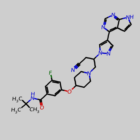 CC(C)(C)NC(=O)c1cc(F)cc(OC2CCN(CC(CC#N)n3cc(-c4ncnc5[nH]ccc45)cn3)CC2)c1